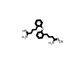 N#C/N=C(\N)CCCc1ccccc1Sc1ccccc1CCCC(=N)N